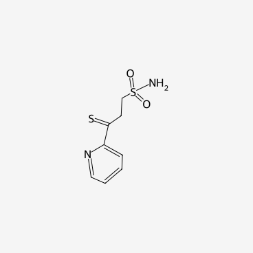 NS(=O)(=O)CCC(=S)c1ccccn1